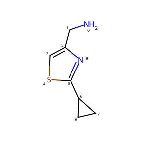 NCc1csc(C2CC2)n1